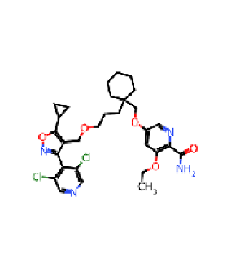 CCOc1cc(OCC2(CCCOCc3c(-c4c(Cl)cncc4Cl)noc3C3CC3)CCCCC2)cnc1C(N)=O